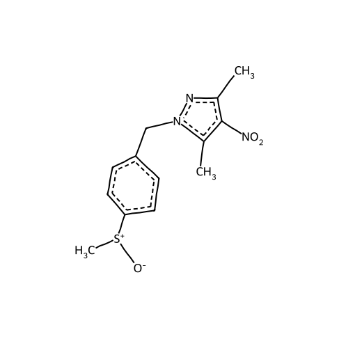 Cc1nn(Cc2ccc([S+](C)[O-])cc2)c(C)c1[N+](=O)[O-]